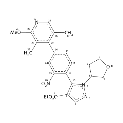 CCOC(=O)c1cnn(C2CCOC2)c1-c1ccc(-c2c(C)cnc(OC)c2C)cc1[N+](=O)[O-]